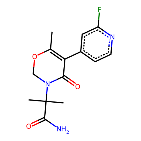 CC1=C(c2ccnc(F)c2)C(=O)N(C(C)(C)C(N)=O)CO1